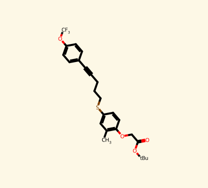 Cc1cc(SCCCC#Cc2ccc(OC(F)(F)F)cc2)ccc1OCC(=O)OC(C)(C)C